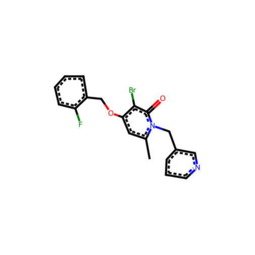 Cc1cc(OCc2ccccc2F)c(Br)c(=O)n1Cc1cccnc1